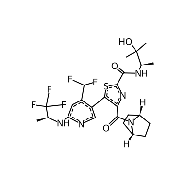 C[C@H](Nc1cc(C(F)F)c(-c2sc(C(=O)N[C@H](C)C(C)(C)O)nc2C(=O)N2[C@H]3CC[C@@H]2CC3)cn1)C(F)(F)F